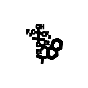 C=C(C)c1ccc2ccccc2c1C(CC)(CC)OC(C)(C)C(O)(C(F)(F)F)C(F)(F)F